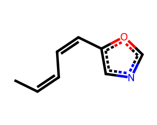 C/C=C\C=C/c1cnco1